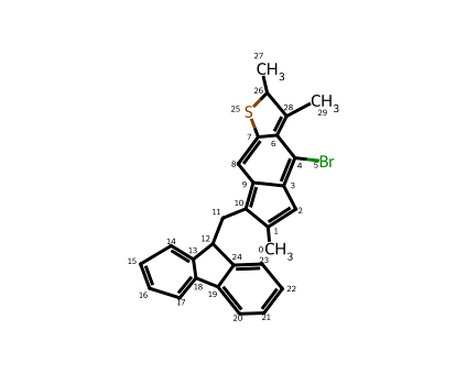 CC1=Cc2c(Br)c3c(cc2=C1CC1c2ccccc2-c2ccccc21)SC(C)C=3C